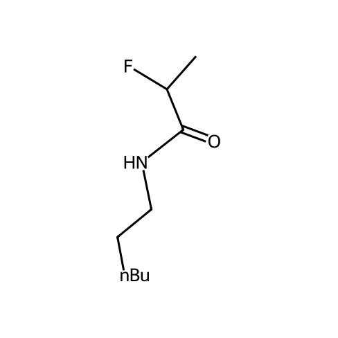 CCCCCCNC(=O)C(C)F